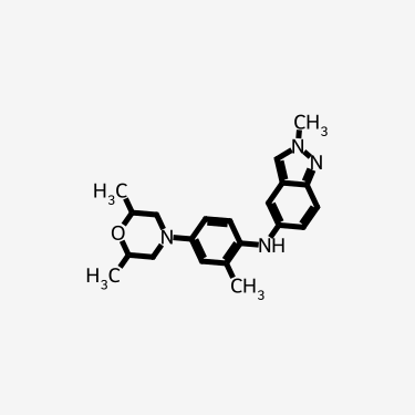 Cc1cc(N2CC(C)OC(C)C2)ccc1Nc1ccc2nn(C)cc2c1